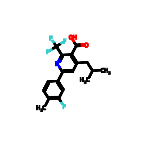 Cc1ccc(-c2cc(CC(C)C)c(C(=O)O)c(C(F)(F)F)n2)cc1F